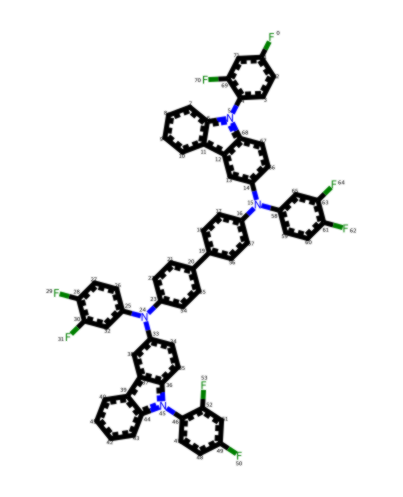 Fc1ccc(-n2c3ccccc3c3cc(N(c4ccc(-c5ccc(N(c6ccc(F)c(F)c6)c6ccc7c(c6)c6ccccc6n7-c6ccc(F)cc6F)cc5)cc4)c4ccc(F)c(F)c4)ccc32)c(F)c1